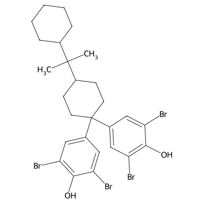 CC(C)(C1CCCCC1)C1CCC(c2cc(Br)c(O)c(Br)c2)(c2cc(Br)c(O)c(Br)c2)CC1